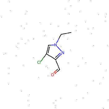 CCn1cc(Cl)c(C=O)n1